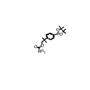 CC(C)(COC(N)=O)c1ccc(B2OC(C)(C)C(C)(C)O2)cc1